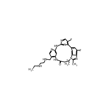 CCNCCNCc1cnc2cc1NC(=O)C[C@H](C)n1c(C)nc3c(F)cc(cc31)-c1nc(ncc1F)N2